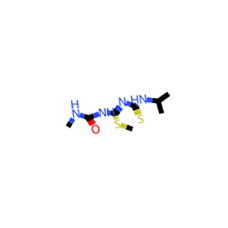 CNC(=O)NC(=NC(=S)NC(C)C)SC